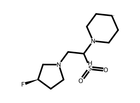 O=[SH](=O)C(CN1CC[C@@H](F)C1)N1CC[CH]CC1